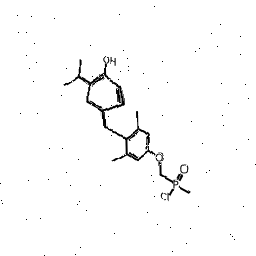 Cc1cc(OCP(C)(=O)Cl)cc(C)c1Cc1ccc(O)c(C(C)C)c1